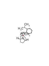 CC(=O)N1[C@@H]2CC[C@H]1C[C@@H](Nc1ccccc1C(C)C)C2